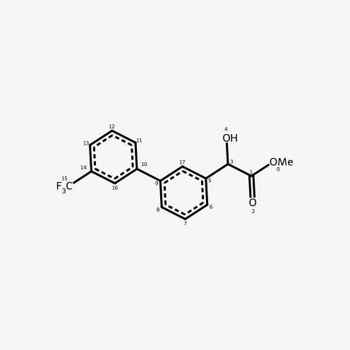 COC(=O)C(O)c1cccc(-c2cccc(C(F)(F)F)c2)c1